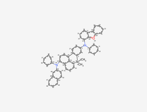 C[Si]1(C)c2cc(N(c3ccccc3)c3cccc4c3oc3ccccc34)ccc2-c2ccc(N(c3ccccc3)c3ccc4ccccc4c3)c3cccc1c23